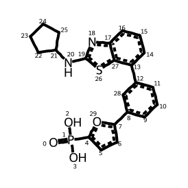 O=P(O)(O)c1ccc(-c2cccc(-c3cccc4nc(NC5CCCC5)sc34)c2)o1